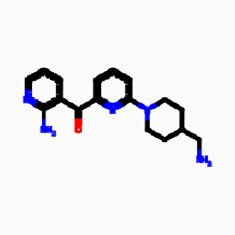 NCC1CCN(c2cccc(C(=O)c3cccnc3N)n2)CC1